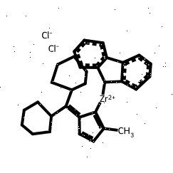 CC1=[C]([Zr+2][CH]2c3ccccc3-c3ccccc32)C(=C(C2CCCCC2)C2CCCCC2)C=C1.[Cl-].[Cl-]